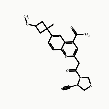 COC1CC(F)(c2ccc3nc(CC(=O)N4CSC[C@H]4C#N)cc(C(N)=O)c3c2)C1